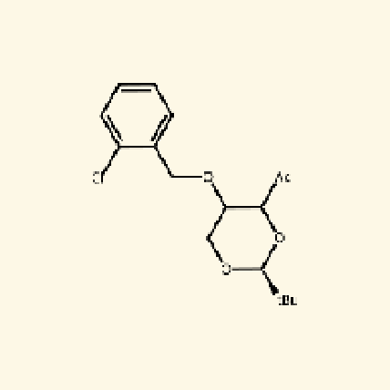 CC(=O)C1O[C@@H](C(C)(C)C)OCC1OCc1ccccc1Cl